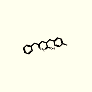 N=C(Cc1ccccc1)CC(Cc1ccc(Cl)cc1)C(=O)O